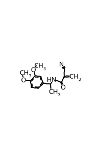 C=C(C#N)C(=O)NC(C)c1ccc(OC)c(OC)c1